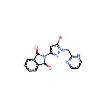 O=C1c2ccccc2C(=O)N1c1cc(Br)n(Cc2ncccn2)n1